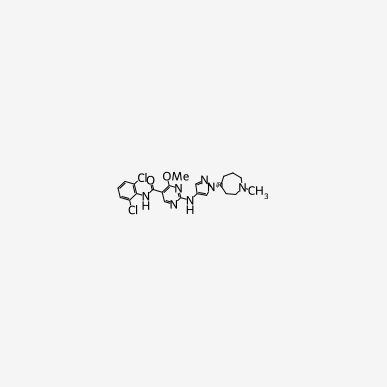 COc1nc(Nc2cnn([C@@H]3CCCN(C)CC3)c2)ncc1C(=O)Nc1c(Cl)cccc1Cl